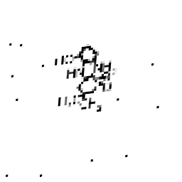 CC1(C)CC(Nc2c(N)cccc2O)=CS(=O)(=O)C1